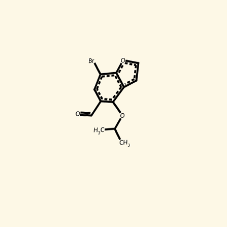 CC(C)Oc1c(C=O)cc(Br)c2occc12